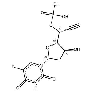 C#C[C@@H](OP(=O)(O)O)[C@H]1O[C@@H](n2cc(F)c(=O)[nH]c2=O)C[C@@H]1O